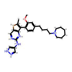 COc1cc(CCCCN2CCCCCC2)ccc1-c1c(C)sc2cnc(Nc3cn[nH]c3)nc12